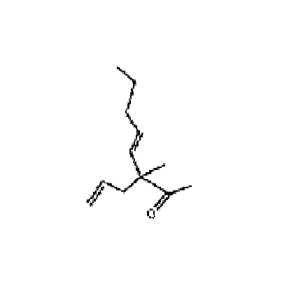 C=CCC(C)(C=CCCC)C(C)=O